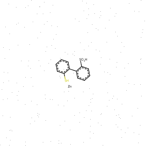 O=S(=O)(O)c1ccccc1-c1ccccc1S.[Zn]